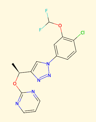 C[C@H](Oc1ncccn1)c1cn(-c2ccc(Cl)c(OC(F)F)c2)nn1